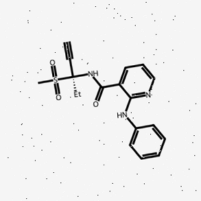 C#C[C@@](CC)(NC(=O)c1cccnc1Nc1ccccc1)S(C)(=O)=O